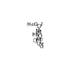 COc1cc(F)cc(-c2csc(NC(=O)CNC(=O)c3ccc4c(c3)[C@](C)(F)COC4)n2)c1